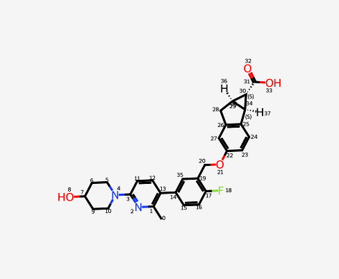 Cc1nc(N2CCC(O)CC2)ccc1-c1ccc(F)c(COc2ccc3c(c2)C[C@H]2[C@H](C(=O)O)[C@@H]32)c1